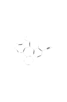 N#Cc1cccc(-c2c[nH]c3nncc(N4CCOCC4)c23)c1F